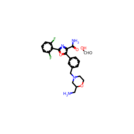 NCC1CN(Cc2cccc(-c3oc(-c4c(F)cccc4F)nc3C(N)=O)c2)CCO1.O=CO